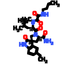 C=CCCNC(=O)C(=O)N(C)[C@@H](CC(C)C)C(=O)N1C[C@]2(C[C@H]1C(N)=O)C(=O)Nc1ccc(C=C)cc12